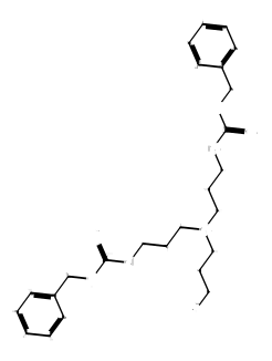 NCCCN(CCCNC(=O)OCc1ccccc1)CCCNC(=O)OCc1ccccc1